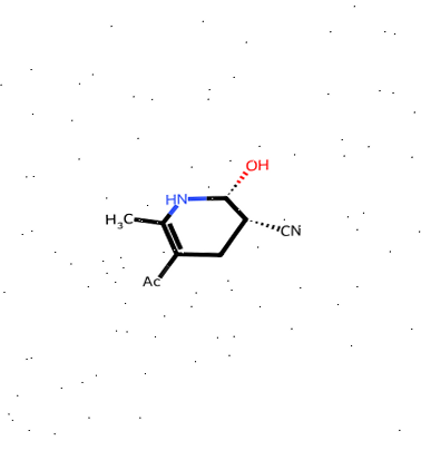 CC(=O)C1=C(C)N[C@H](O)[C@H](C#N)C1